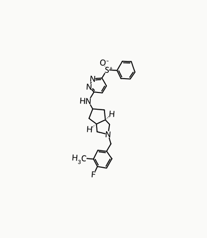 Cc1cc(CN2C[C@H]3CC(Nc4ccc([S+]([O-])c5ccccc5)nn4)C[C@H]3C2)ccc1F